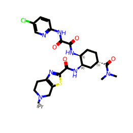 CC(C)N1CCc2nc(C(=O)N[C@@H]3C[C@@H](C(=O)N(C)C)CC[C@@H]3NC(=O)C(=O)Nc3ccc(Cl)cn3)sc2C1